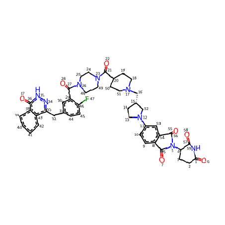 O=C1CCC(N2C(=O)c3ccc(N4CC[C@H](CN5CCC(C(=O)N6CCN(C(=O)c7cc(Cc8n[nH]c(=O)c9ccccc89)ccc7F)CC6)CC5)C4)cc3C2=O)C(=O)N1